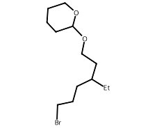 CCC(CCCBr)CCOC1CCCCO1